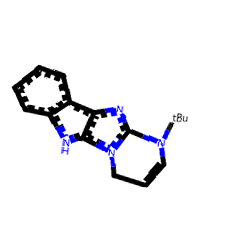 CC(C)(C)N1C=CCn2c1nc1c3ccccc3[nH]c12